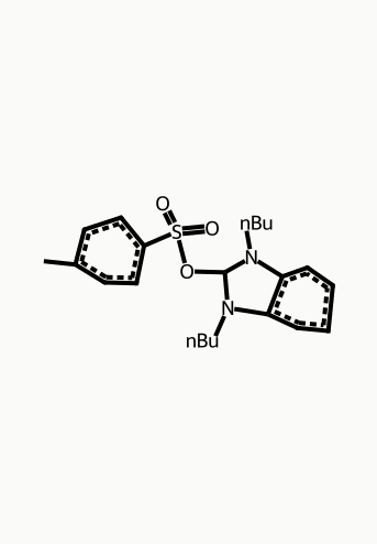 CCCCN1c2ccccc2N(CCCC)C1OS(=O)(=O)c1ccc(C)cc1